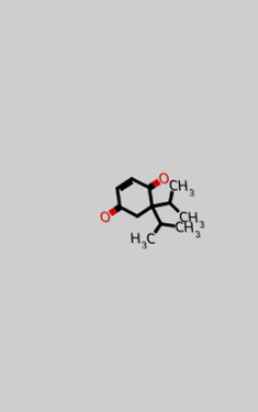 CC(C)C1(C(C)C)CC(=O)C=CC1=O